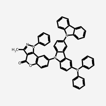 Cc1nn(-c2ccccc2)c2c1c(=O)oc1ccc(-n3c4ccc(N(c5ccccc5)c5ccccc5)cc4c4cc(-n5c6ccccc6c6ccccc65)ccc43)cc12